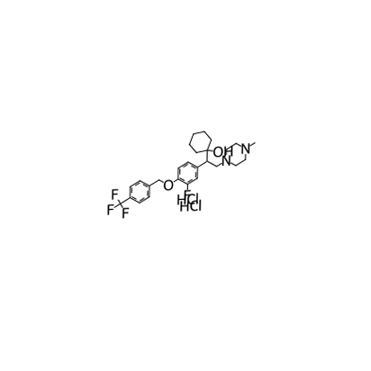 CN1CCN(CC(c2ccc(OCc3ccc(C(F)(F)F)cc3)c(F)c2)C2(O)CCCCC2)CC1.Cl.Cl